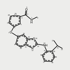 CNC(=O)c1cc(Oc2ccc3nc(Nc4ccccc4C(C)C)sc3c2)ccn1